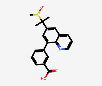 C[S+]([O-])C(C)(C)c1cc(-c2cccc(C(=O)O)c2)c2ncccc2c1